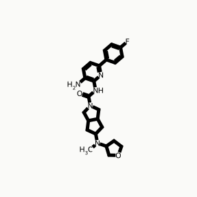 CN(C1CCOC1)C1CC2CN(C(=O)Nc3nc(-c4ccc(F)cc4)ccc3N)CC2C1